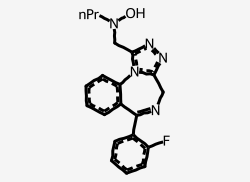 CCCN(O)Cc1nnc2n1-c1ccccc1C(c1ccccc1F)=NC2